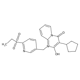 CCS(=O)(=O)c1ccc(C[n+]2c(O)c(C3CCCC3)c(=O)n3ccccc32)cn1